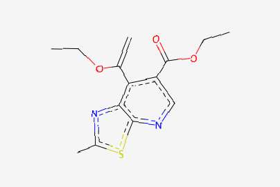 C=C(OCC)c1c(C(=O)OCC)cnc2sc(C)nc12